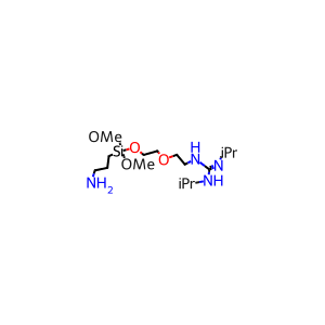 CO[Si](CCCN)(OC)OCCOCCN/C(=N\C(C)C)NC(C)C